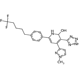 Cn1ccc(C2=C(c3nn[nH]n3)C(O)NC(c3ccc(CCCCC(F)(F)F)cc3)=C2)n1